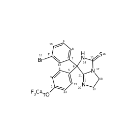 FC(F)(F)Oc1ccc(C2(c3cccc(Br)c3)NC(=S)N3CCN=C32)cc1